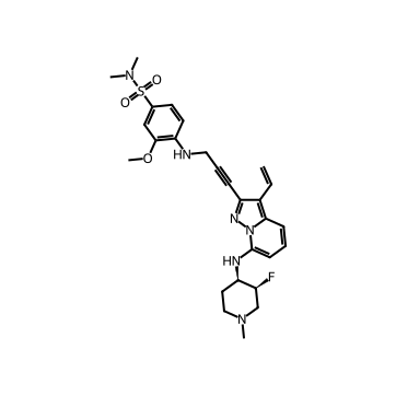 C=Cc1c(C#CCNc2ccc(S(=O)(=O)N(C)C)cc2OC)nn2c(N[C@@H]3CCN(C)C[C@@H]3F)cccc12